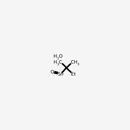 CC[C](C)(C)[Sn]=[O].O